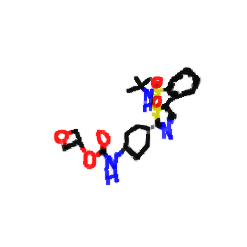 CC(C)(C)NS(=O)(=O)c1ccccc1-c1cnc([C@H]2CC[C@H](NC(=O)OC3COC3)CC2)s1